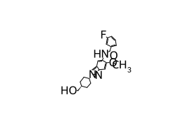 COc1cc2nn([C@H]3CC[C@H](CO)CC3)cc2cc1NC(=O)c1cccc(F)c1